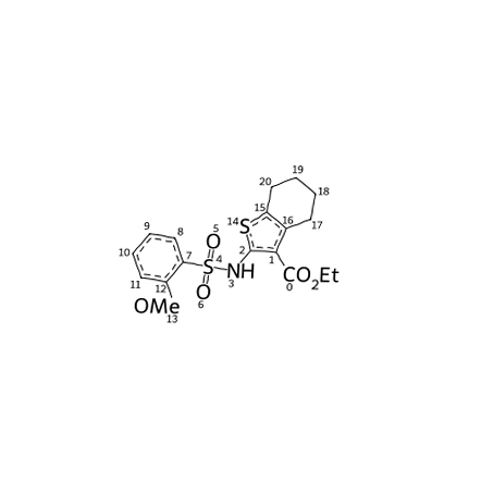 CCOC(=O)c1c(NS(=O)(=O)c2ccccc2OC)sc2c1CCCC2